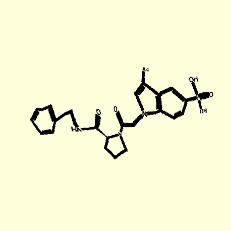 CC(=O)c1cn(CC(=O)N2CCC[C@H]2C(=O)NCc2ccccc2)c2ccc(P(=O)(O)O)cc12